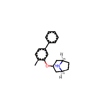 Cc1ccc(-c2ccccc2)cc1OC1C[C@H]2CC[C@@H](C1)N2